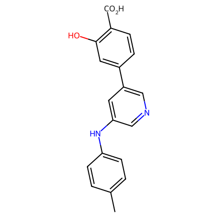 Cc1ccc(Nc2cncc(-c3ccc(C(=O)O)c(O)c3)c2)cc1